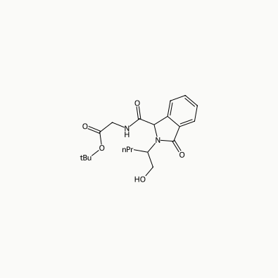 CCCC(CO)N1C(=O)c2ccccc2C1C(=O)NCC(=O)OC(C)(C)C